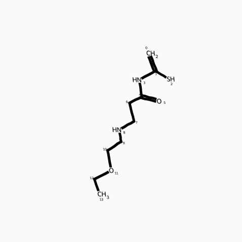 C=C(S)NC(=O)CCNCCOCC